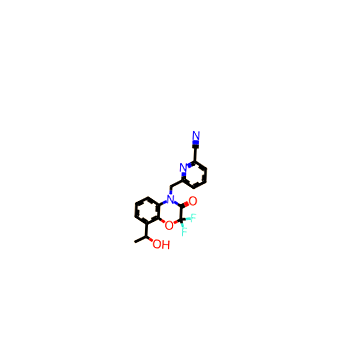 CC(O)c1cccc2c1OC(F)(F)C(=O)N2Cc1cccc(C#N)n1